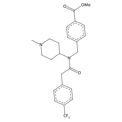 COC(=O)c1ccc(CN(C(=O)Cc2ccc(C(F)(F)F)cc2)C2CCN(C)CC2)cc1